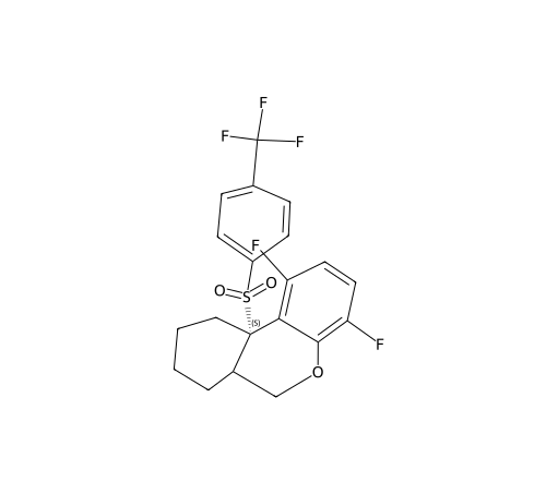 O=S(=O)(c1ccc(C(F)(F)F)cc1)[C@@]12CCCCC1COc1c(F)ccc(F)c12